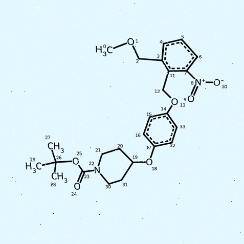 COCc1cccc([N+](=O)[O-])c1COc1ccc(OC2CCN(C(=O)OC(C)(C)C)CC2)cc1